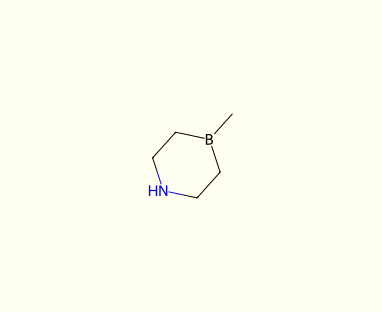 CB1CCNCC1